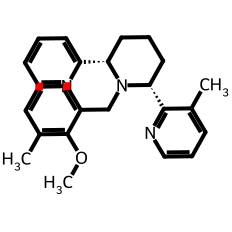 COc1c(C)cccc1CN1[C@@H](c2ncccc2C)CCC[C@H]1c1ccccn1